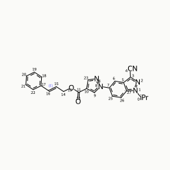 CC(C)n1nc(C#N)c2cc(-n3cc(C(=O)OC/C=C/c4ccccc4)cn3)ccc21